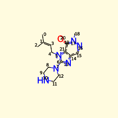 CC(C)=CCn1c(N2CCNCC2)nc2cnn(C)c(=O)c21